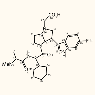 CNC(C)C(=O)NC(C(=O)N1CCC2C1C(c1c[nH]c3cc(F)ccc13)CN2CC(=O)O)C1CCCCC1